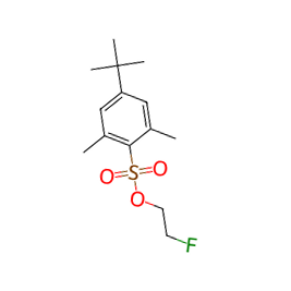 Cc1cc(C(C)(C)C)cc(C)c1S(=O)(=O)OCCF